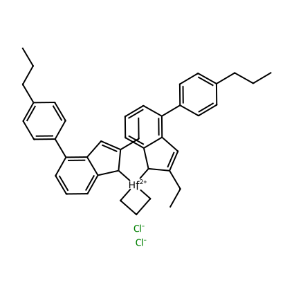 CCCc1ccc(-c2cccc3c2C=C(CC)[CH]3[Hf+2]2([CH]3C(CC)=Cc4c(-c5ccc(CCC)cc5)cccc43)[CH2]C[CH2]2)cc1.[Cl-].[Cl-]